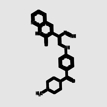 CN1CCN(C(=O)c2ccc(N/C=C(\N=N)c3cc4cccnc4[nH]c3=O)cc2)CC1